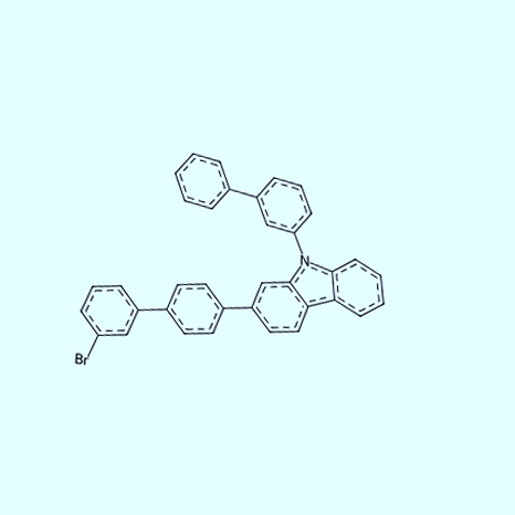 Brc1cccc(-c2ccc(-c3ccc4c5ccccc5n(-c5cccc(-c6ccccc6)c5)c4c3)cc2)c1